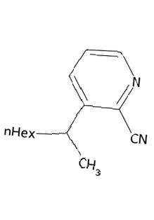 CCCCCCC(C)c1cccnc1C#N